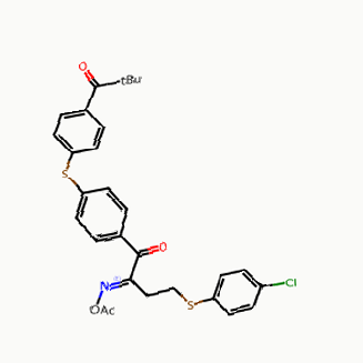 CC(=O)O/N=C(\CCSc1ccc(Cl)cc1)C(=O)c1ccc(Sc2ccc(C(=O)C(C)(C)C)cc2)cc1